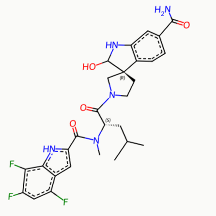 CC(C)C[C@@H](C(=O)N1CC[C@]2(C1)c1ccc(C(N)=O)cc1NC2O)N(C)C(=O)c1cc2c(F)cc(F)c(F)c2[nH]1